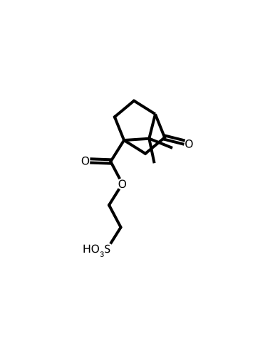 CC1(C)C2CCC1(C(=O)OCCS(=O)(=O)O)CC2=O